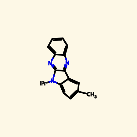 Cc1ccc2c(c1)c1nc3ccccc3nc1n2C(C)C